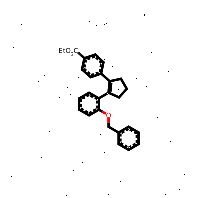 CCOC(=O)c1ccc(C2=C(c3ccccc3OCc3ccccc3)CCC2)cc1